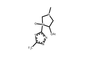 CC(=O)OC1CN(C)C[N+]1([O-])c1nnc(C(F)(F)F)s1